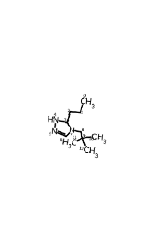 CCCC1NN=CN1CC(C)(C)C